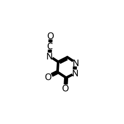 O=C=NC1=CN=NC(=O)C1=O